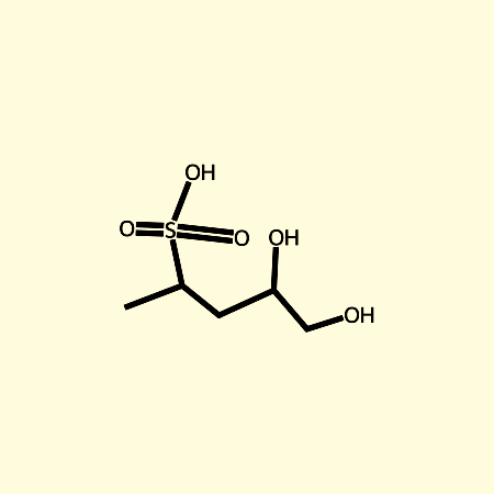 CC(CC(O)CO)S(=O)(=O)O